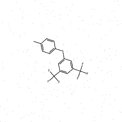 Cc1ccc(Sc2cc(C(F)(F)F)cc(C(F)(F)F)c2)cc1